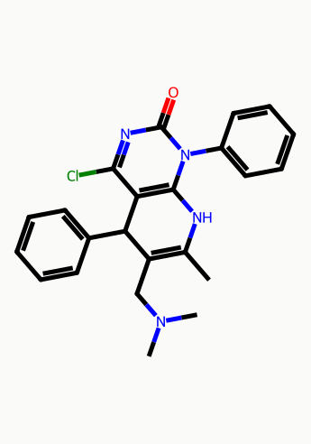 CC1=C(CN(C)C)C(c2ccccc2)c2c(Cl)nc(=O)n(-c3ccccc3)c2N1